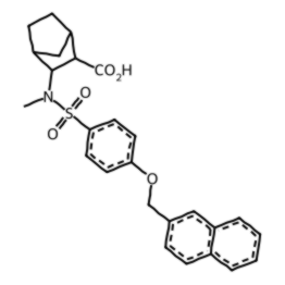 CN(C1C2CCC(C2)C1C(=O)O)S(=O)(=O)c1ccc(OCc2ccc3ccccc3c2)cc1